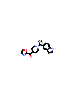 CC(c1ccc2[nH]ccc2c1)N1CCC(C(=O)c2ncco2)CC1